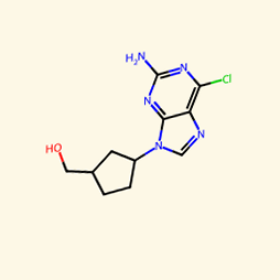 Nc1nc(Cl)c2ncn(C3CCC(CO)C3)c2n1